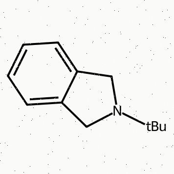 CC(C)(C)N1Cc2ccccc2C1